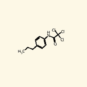 CCCc1ccc(NC(=O)C(Cl)(Cl)Cl)cc1